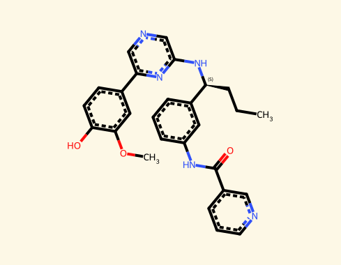 CCC[C@H](Nc1cncc(-c2ccc(O)c(OC)c2)n1)c1cccc(NC(=O)c2cccnc2)c1